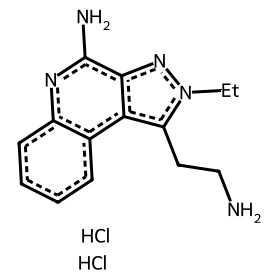 CCn1nc2c(N)nc3ccccc3c2c1CCN.Cl.Cl